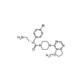 C[C@@H]1CCc2ncnc(N3CCN(C(=O)[C@H](CCN)c4ccc(Br)cc4)CC3)c21